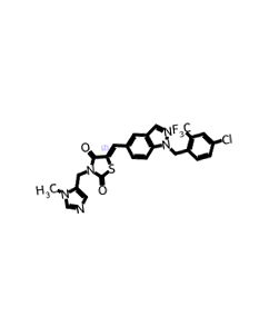 Cn1cncc1CN1C(=O)S/C(=C\c2ccc3c(cnn3Cc3ccc(Cl)cc3C(F)(F)F)c2)C1=O